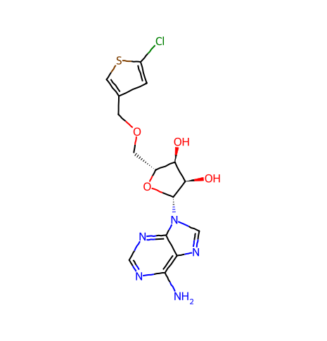 Nc1ncnc2c1ncn2[C@@H]1O[C@H](COCc2csc(Cl)c2)[C@@H](O)[C@H]1O